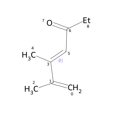 C=C(C)/C(C)=C/C(=O)CC